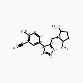 CC1CCC(C)N1Cc1nnnn1-c1ccc(Cl)c(C#N)c1